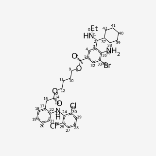 CCNC(c1cc(C(=O)OCCCCOC(=O)Cc2ccccc2Nc2c(Cl)cccc2Cl)cc(Br)c1N)C1CCCCC1